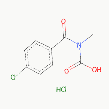 CN(C(=O)O)C(=O)c1ccc(Cl)cc1.Cl